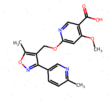 COc1cc(OCc2c(-c3ccc(C)nc3)noc2C)ncc1C(=O)O